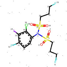 O=S(=O)(CCCF)N(c1ccc(F)c(I)c1Cl)S(=O)(=O)CCCF